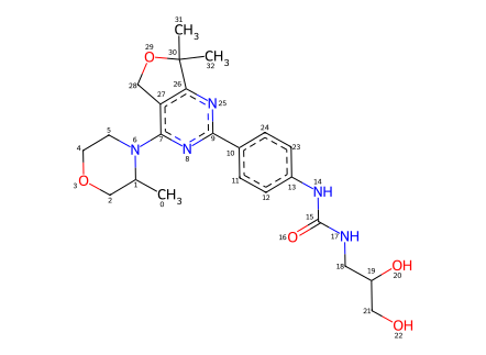 CC1COCCN1c1nc(-c2ccc(NC(=O)NCC(O)CO)cc2)nc2c1COC2(C)C